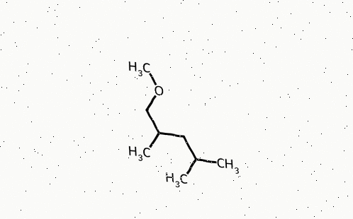 COCC(C)CC(C)C